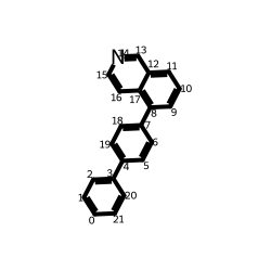 c1ccc(-c2ccc(-c3cccc4cnccc34)cc2)cc1